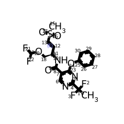 CC(F)(F)c1ncc(C(=O)N[C@H](/C=C/S(C)(=O)=O)COC(F)F)c(Oc2ccccc2)n1